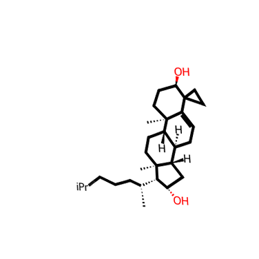 CC(C)CCC[C@@H](C)[C@H]1[C@@H](O)C[C@H]2[C@@H]3CC=C4C5(CC5)[C@H](O)CC[C@]4(C)[C@H]3CC[C@]12C